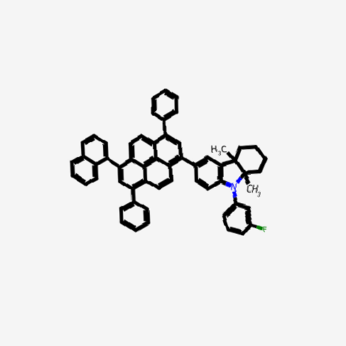 CC12CCCCC1(C)N(c1cccc(F)c1)c1ccc(-c3cc(-c4ccccc4)c4ccc5c(-c6cccc7ccccc67)cc(-c6ccccc6)c6ccc3c4c65)cc12